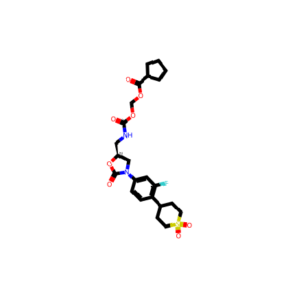 O=C(NC[C@H]1CN(c2ccc(C3CCS(=O)(=O)CC3)c(F)c2)C(=O)O1)OCOC(=O)C1CCCC1